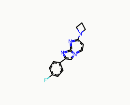 Fc1ccc(-c2cn3ccc(N4CCC4)nc3n2)cc1